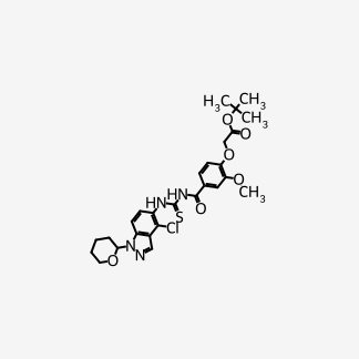 COc1cc(C(=O)NC(=S)Nc2ccc3c(cnn3C3CCCCO3)c2Cl)ccc1OCC(=O)OC(C)(C)C